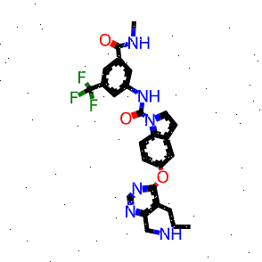 CNC(=O)c1cc(NC(=O)n2ccc3cc(Oc4ncnc5c4CC(C)NC5)ccc32)cc(C(F)(F)F)c1